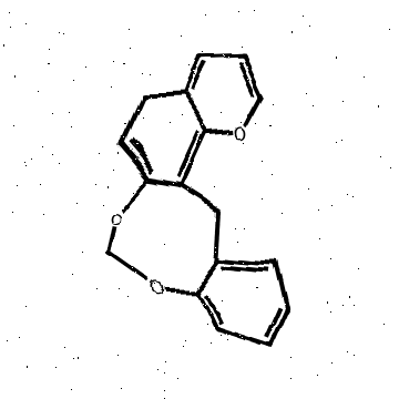 C1=COC2=C3Cc4ccccc4OCOC3=CCC2=C1